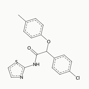 Cc1ccc(OC(C(=O)Nc2nccs2)c2ccc(Cl)cc2)cc1